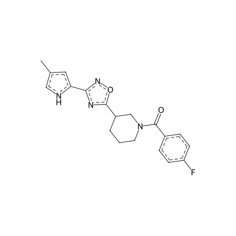 Cc1c[nH]c(-c2noc(C3CCCN(C(=O)c4ccc(F)cc4)C3)n2)c1